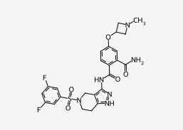 CN1CC(Oc2ccc(C(=O)Nc3n[nH]c4c3CN(S(=O)(=O)c3cc(F)cc(F)c3)CC4)c(C(N)=O)c2)C1